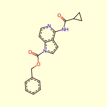 O=C(Nc1nccc2c1ccn2C(=O)OCc1ccccc1)C1CC1